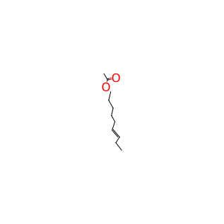 CCC=CCCCCCOC(C)=O